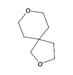 C1CC2(CCO1)CCOC2